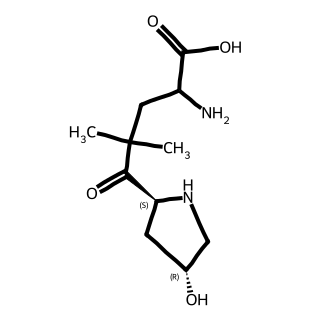 CC(C)(CC(N)C(=O)O)C(=O)[C@@H]1C[C@@H](O)CN1